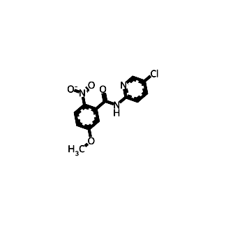 COc1ccc([N+](=O)[O-])c(C(=O)Nc2ccc(Cl)cn2)c1